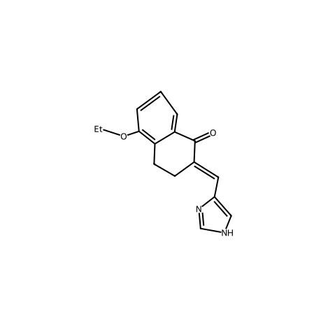 CCOc1cccc2c1CCC(=Cc1c[nH]cn1)C2=O